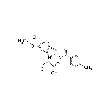 CCC(C(=O)O)n1/c(=N/C(=O)c2ccc(C)cc2)sc2ccc(OC(C)C)cc21